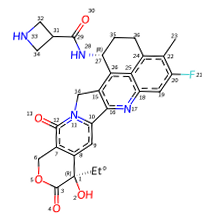 CC[C@]1(O)C(=O)OCc2c1cc1n(c2=O)Cc2c-1nc1cc(F)c(C)c3c1c2[C@H](NC(=O)C1CNC1)CC3